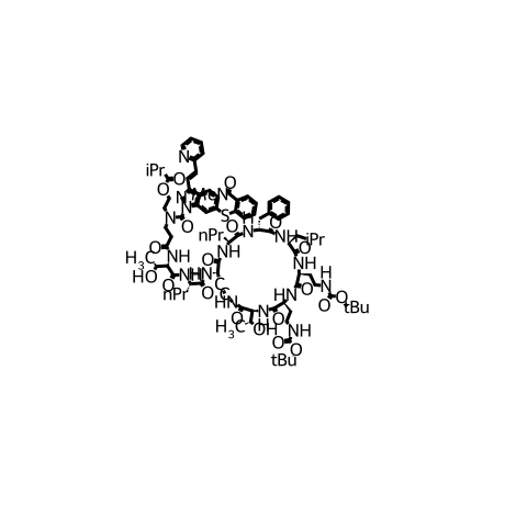 CCC[C@@H]1NC(=O)[C@@H](NC(=O)[C@H](CCC)NC(=O)[C@@H](NC(=O)CCN(CCOC(=O)C(C)C)C(=O)n2nc(/C=C/c3ccccn3)c3ccc(Sc4ccccc4C(=O)NC)cc32)[C@@H](C)O)CCNC(=O)[C@H]([C@@H](C)O)NC(=O)[C@H](CCNC(=O)OC(C)(C)C)NC(=O)[C@H](CCNC(=O)OC(C)(C)C)NC(=O)[C@H](CC(C)C)NC(=O)[C@@H](Cc2ccccc2)NC1=O